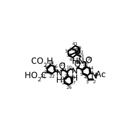 CC(=O)n1ccc2cc(C(=O)NCC(C(=O)Nc3cc(C(=O)O)cc(C(=O)O)c3)c3ccccc3)c(C(=O)NCC34CC5CC(CC(C5)C3)C4)cc21